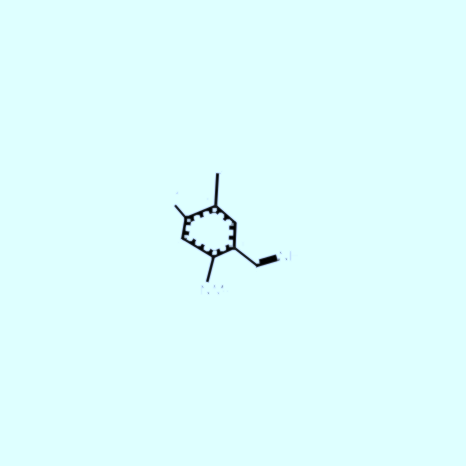 CNc1cc(F)c(C)cc1C=N